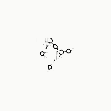 NC(=O)c1nccc(-c2ccc(F)cc2)c1OCCOc1cccc(Br)c1F.O=C(NOCCOc1ccc(F)c(Br)c1)c1cc(-c2ccc(F)cc2)ccn1